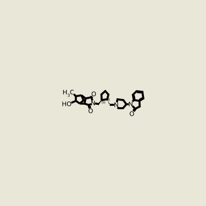 CC1C(O)C2CC1C1C(=O)N(C[C@H]3CCC[C@@H]3CN3CCC(N4C(=O)Cc5ccccc54)CC3)C(=O)C21